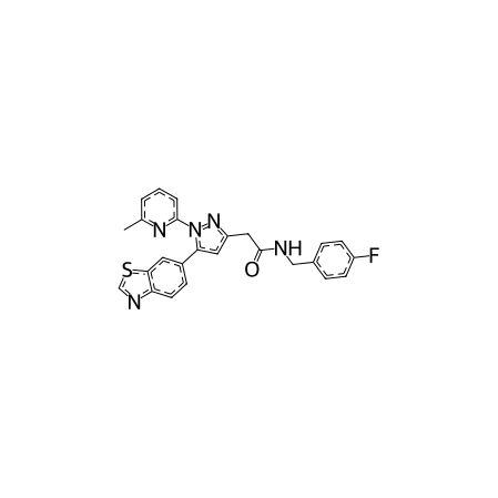 Cc1cccc(-n2nc(CC(=O)NCc3ccc(F)cc3)cc2-c2ccc3ncsc3c2)n1